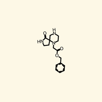 O=C(CN1CCNCC12CCNC2=O)OCc1ccccc1